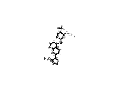 COc1nc(Nc2ccnc3cc(-c4nnsc4C)ccc23)ncc1C(F)(F)F